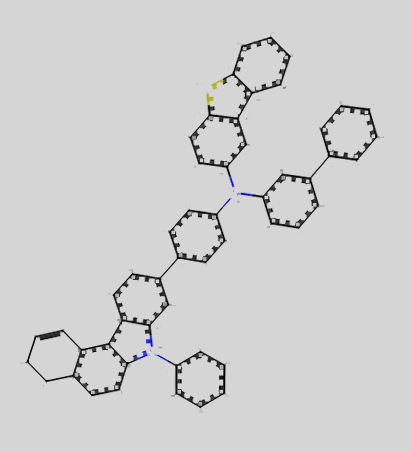 C1=Cc2c(ccc3c2c2ccc(-c4ccc(N(c5cccc(-c6ccccc6)c5)c5ccc6sc7ccccc7c6c5)cc4)cc2n3-c2ccccc2)CC1